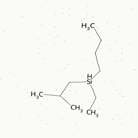 CCCC[SiH](CC)CC(C)C